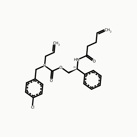 C=CCCC(=O)N[C@H](COC(=O)N(CC=C)Cc1ccc(Cl)cc1)c1ccccc1